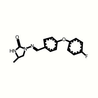 CC1CN(N=Cc2ccc(Oc3ccc(F)cc3)cc2)C(=O)N1